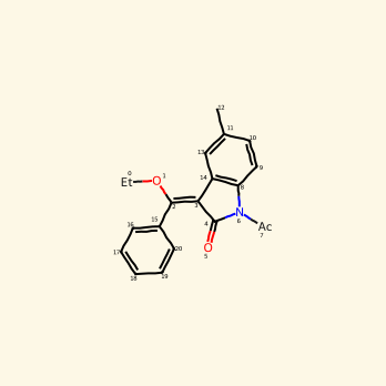 CCOC(=C1C(=O)N(C(C)=O)c2ccc(C)cc21)c1ccccc1